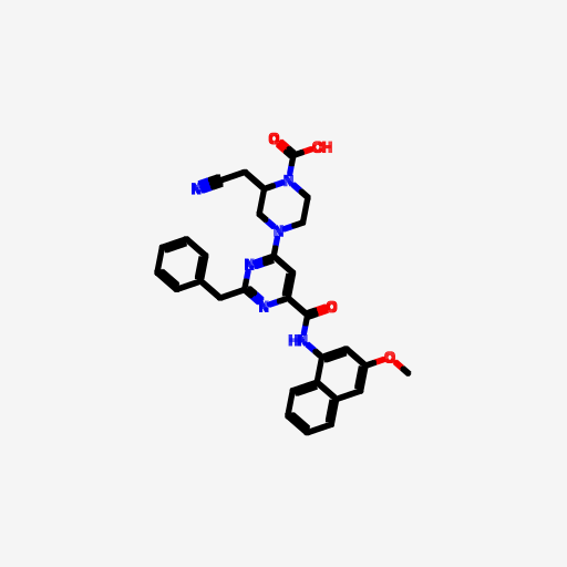 COc1cc(NC(=O)c2cc(N3CCN(C(=O)O)C(CC#N)C3)nc(Cc3ccccc3)n2)c2ccccc2c1